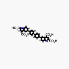 O=C(O)c1cc(C(=O)O)c2cc(-c3ccc(-c4ccc(-c5ccc6nc(C(=O)O)cc(C(=O)O)c6c5)cc4)cc3)ccc2n1